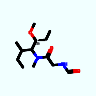 CCC(C)C([C@@H](CC)OC)N(C)C(=O)CNC=O